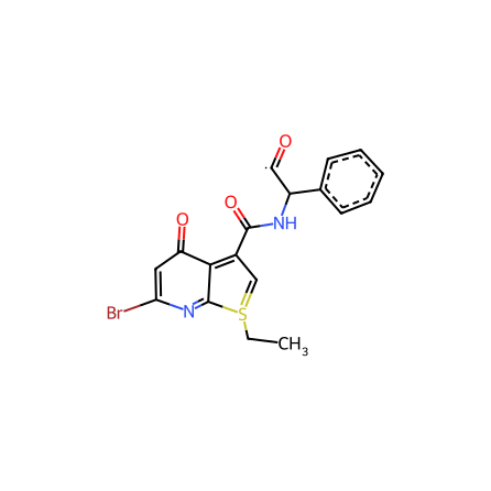 CCS1=CC(C(=O)NC([C]=O)c2ccccc2)=C2C(=O)C=C(Br)N=C21